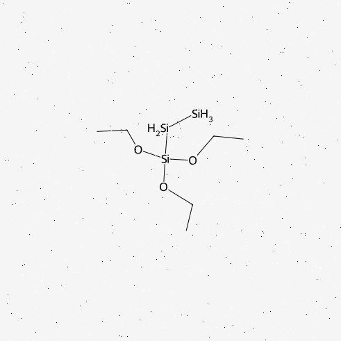 CCO[Si](OCC)(OCC)[SiH2][SiH3]